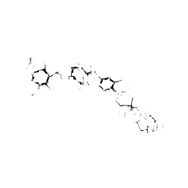 COc1cc(OC)c(F)c(COc2cnc(Nc3ccc(N4CCC(O)(CN5CCNCC5)CC4)c(C)c3)nc2)c1F